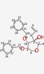 C=CC[C@]1(O)C(C)OCC(OCc2ccccc2)C1OCc1ccccc1